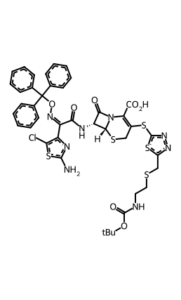 CC(C)(C)OC(=O)NCCSCc1nnc(SC2=C(C(=O)O)N3C(=O)[C@@H](NC(=O)/C(=N\OC(c4ccccc4)(c4ccccc4)c4ccccc4)c4nc(N)sc4Cl)[C@H]3SC2)s1